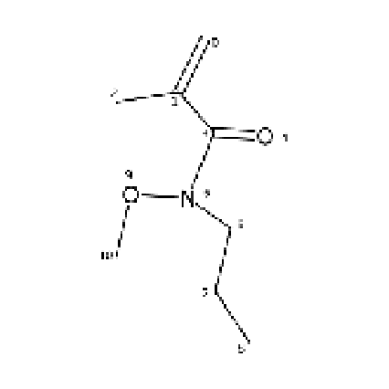 C=C(C)C(=O)N(CCC)OC